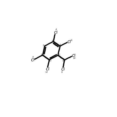 Clc1cc(Cl)c(Cl)c(C(Cl)Cl)c1Cl